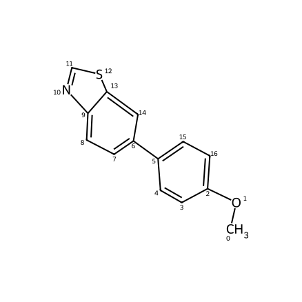 COc1ccc(-c2ccc3ncsc3c2)cc1